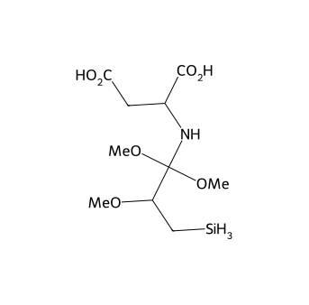 COC(C[SiH3])C(NC(CC(=O)O)C(=O)O)(OC)OC